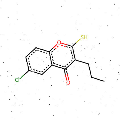 CCCc1c(S)oc2ccc(Cl)cc2c1=O